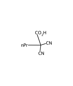 CCCC(C#N)(C#N)C(=O)O